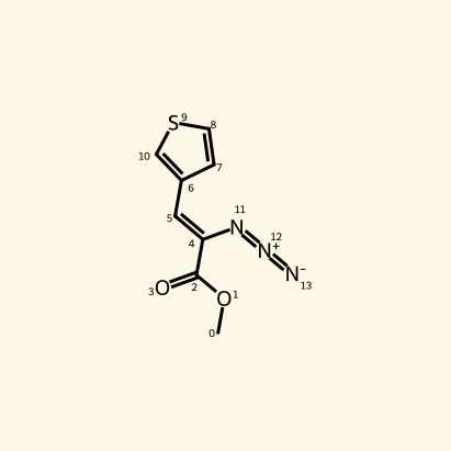 COC(=O)/C(=C/c1ccsc1)N=[N+]=[N-]